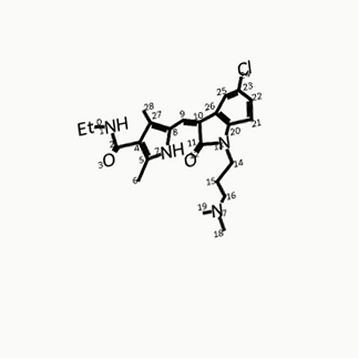 CCNC(=O)c1c(C)[nH]c(/C=C2\C(=O)N(CCCN(C)C)c3ccc(Cl)cc32)c1C